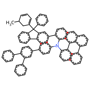 CC1C=CC=C(C2(c3ccccc3)c3ccccc3-c3ccc(-c4ccccc4N(c4ccc(-c5ccc(-c6ccccc6)c(-c6ccccc6)c5)cc4)c4ccccc4-c4cccc5cccc(-c6ccccc6)c45)cc32)C1